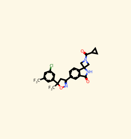 O=C1NC2(CN(C(=O)C3CC3)C2)c2ccc(C3=NOC(c4cc(Cl)cc(C(F)(F)F)c4)(C(F)(F)F)C3)cc21